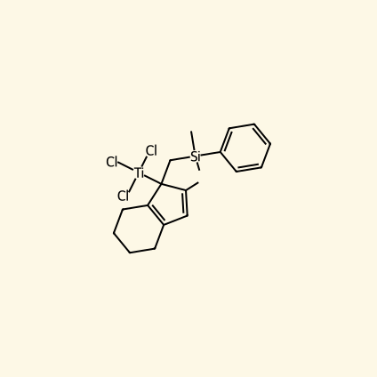 CC1=CC2=C(CCCC2)[C]1(C[Si](C)(C)c1ccccc1)[Ti]([Cl])([Cl])[Cl]